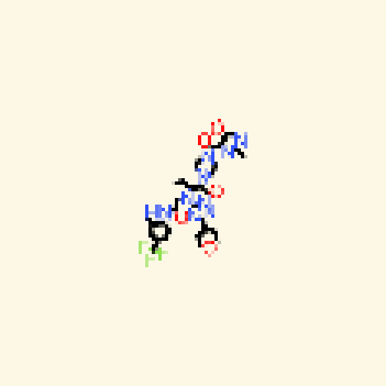 CCc1c(N2CCN(C(=O)c3nc(C)ncc3OC)CC2)c(=O)n2nc(C3=CCOCC3)nc2n1CC(=O)Nc1ccc(C(F)(F)F)cc1C